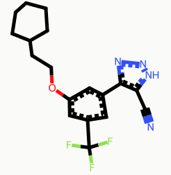 N#Cc1[nH]nnc1-c1cc(OCCC2CCCCC2)cc(C(F)(F)F)c1